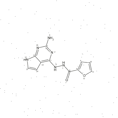 Nc1nc(NNC(=O)c2ccco2)c2cc[nH]c2n1